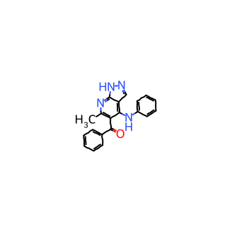 Cc1nc2[nH]ncc2c(Nc2ccccc2)c1C(=O)c1ccccc1